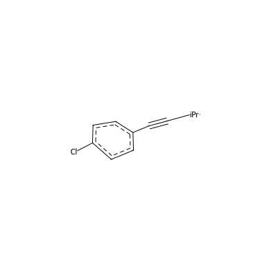 C[C](C)C#Cc1ccc(Cl)cc1